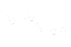 Cc1nc(NC[C@H](NC(=O)OCc2ccc(-c3ccccc3)cc2)C(=O)O)c(C)c(N2CCC(c3ccc4c(n3)NCCC4)CC2)n1